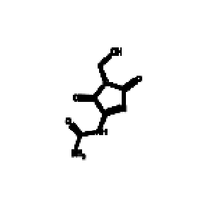 NC(=O)NC1=NC(=O)N(CO)C1=O